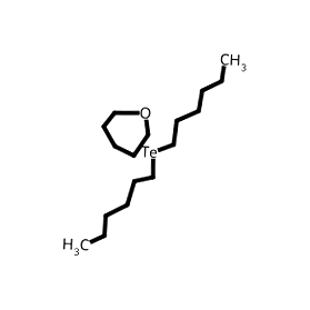 C1CCOCC1.CCCCCC[Te]CCCCCC